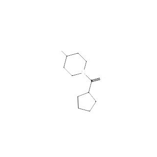 O=C(C1CCCC1)N1CCC(O)CC1